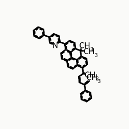 C=C(/C=C\C(=C/C)c1ccccc1)c1ccc2c3c1ccc1ccc4c(-c5ccc(-c6ccccc6)cn5)ccc(c4c13)C2(C)C